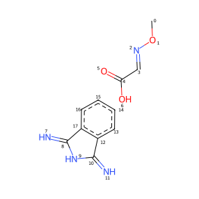 CON=CC(=O)O.N=C1NC(=N)c2ccccc21